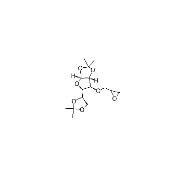 CC1(C)O[C@H]2O[C@H]([C@H]3COC(C)(C)O3)[C@H](OCC3CO3)[C@H]2O1